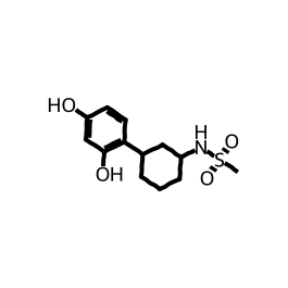 CS(=O)(=O)NC1CCCC(c2ccc(O)cc2O)C1